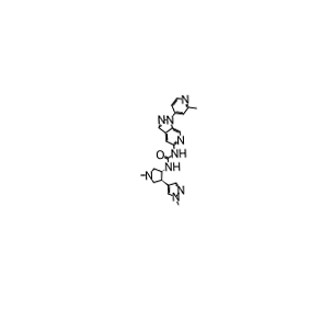 Cc1cc(-n2ncc3cc(NC(=O)N[C@H]4CN(C)C[C@@H]4c4cnn(C)c4)ncc32)ccn1